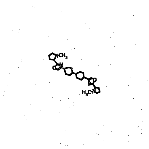 CN1CCCC1c1nc(C2CCC(C3CCC(c4coc([C@H]5CCCN5C)n4)CC3)CC2)co1